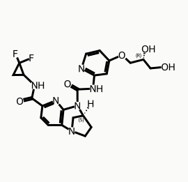 O=C(NC1CC1(F)F)c1ccc2c(n1)N(C(=O)Nc1cc(OC[C@H](O)CO)ccn1)[C@H]1CCN2C1